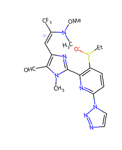 CC[S+]([O-])c1ccc(-n2ccnn2)nc1-c1nc(/C=C(\N(C)OC)C(F)(F)F)c(C=O)n1C